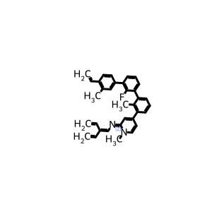 C=CC(C=C)=C/N=c1/cc(-c2cccc(-c3cccc(-c4ccc(C=C)c(C)c4)c3F)c2C)ccn1C